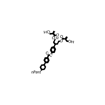 C=C(CO)C(=O)OCCC(CCOC(O)C(=C)CO)c1ccc(OC(=O)c2ccc(C3CCC(CCCCC)CC3)cc2)cc1